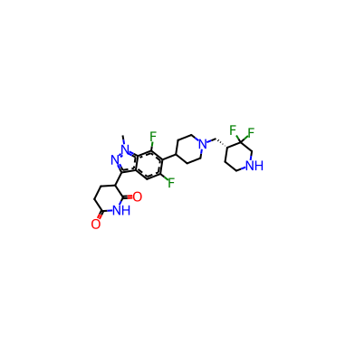 Cn1nc(C2CCC(=O)NC2=O)c2cc(F)c(C3CCN(C[C@H]4CCNCC4(F)F)CC3)c(F)c21